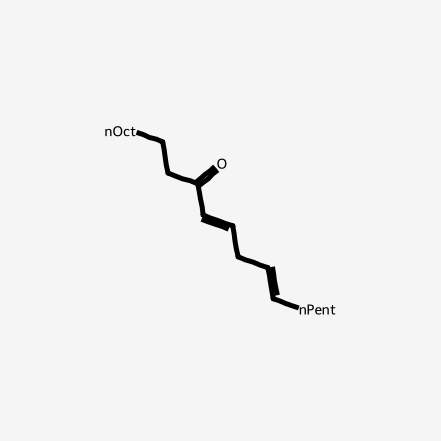 CCCCCC=CCC=CC(=O)CCCCCCCCCC